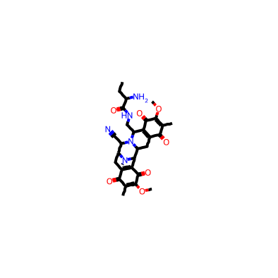 CCC(N)C(=O)NCC1C2=C(CC3C4C5=C(CC(C(C#N)N13)N4C)C(=O)C(C)=C(OC)C5=O)C(=O)C(C)=C(OC)C2=O